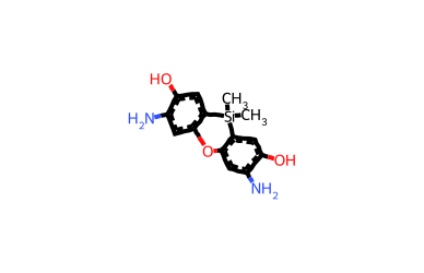 C[Si]1(C)c2cc(O)c(N)cc2Oc2cc(N)c(O)cc21